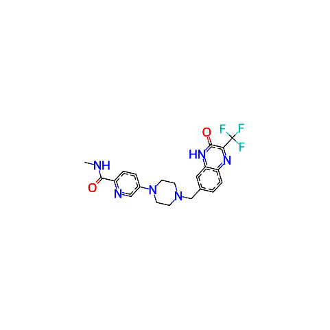 CNC(=O)c1ccc(N2CCN(Cc3ccc4nc(C(F)(F)F)c(=O)[nH]c4c3)CC2)cn1